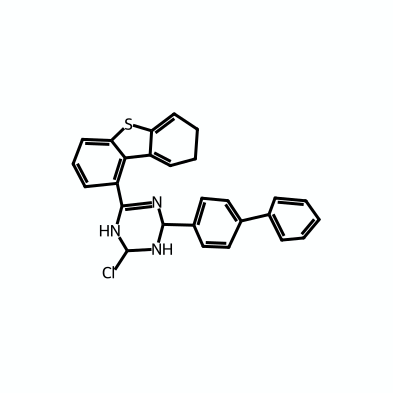 ClC1NC(c2cccc3sc4c(c23)=CCCC=4)=NC(c2ccc(-c3ccccc3)cc2)N1